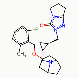 Cc1cccc(F)c1COC1CC2CCC(C1)N2C[C@@H]1C[C@H]1Cn1nc2n(c1=O)CCC2